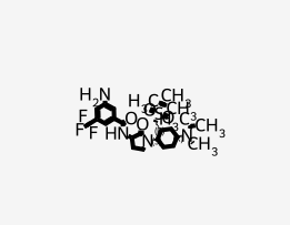 CC(C)N(C)[C@@H]1CC[C@H](N2CCC(NC(=O)c3cc(N)cc(C(F)(F)F)c3)C2=O)[C@H](CS(=O)(=O)C(C)(C)C)C1